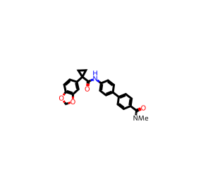 CNC(=O)c1ccc(-c2ccc(NC(=O)C3(c4ccc5c(c4)OCO5)CC3)cc2)cc1